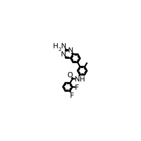 Cc1ccc(NC(=O)c2cccc(F)c2F)cc1-c1ccc2nc(N)ncc2c1